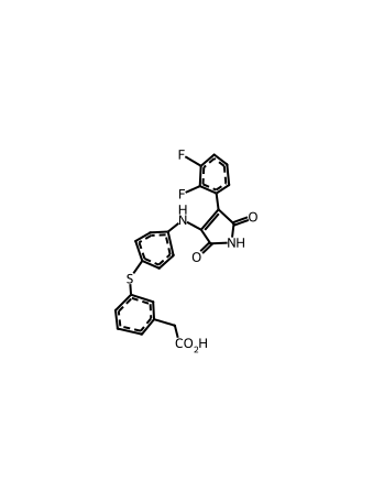 O=C(O)Cc1cccc(Sc2ccc(NC3=C(c4cccc(F)c4F)C(=O)NC3=O)cc2)c1